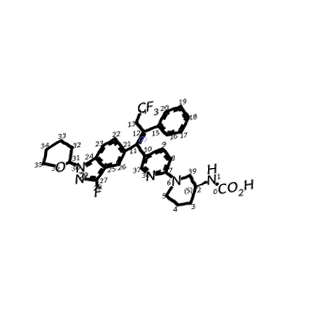 O=C(O)N[C@H]1CCCN(c2ccc(/C(=C(/CC(F)(F)F)c3ccccc3)c3ccc4c(c3)c(F)nn4C3CCCCO3)cn2)C1